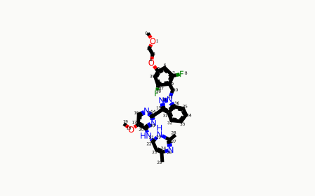 COCCOc1cc(F)c(Cn2nc(-c3ncc(OC)c(NC4C=C(C)N=C(C)N4)n3)c3ccccc32)c(F)c1